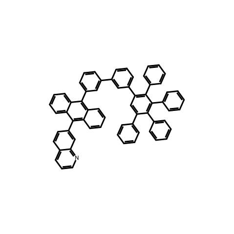 c1ccc(-c2cc(-c3cccc(-c4cccc(-c5c6ccccc6c(-c6ccc7cccnc7c6)c6ccccc56)c4)c3)c(-c3ccccc3)c(-c3ccccc3)c2-c2ccccc2)cc1